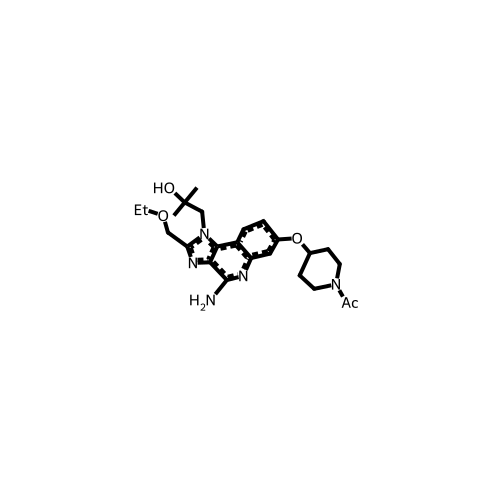 CCOCc1nc2c(N)nc3cc(OC4CCN(C(C)=O)CC4)ccc3c2n1CC(C)(C)O